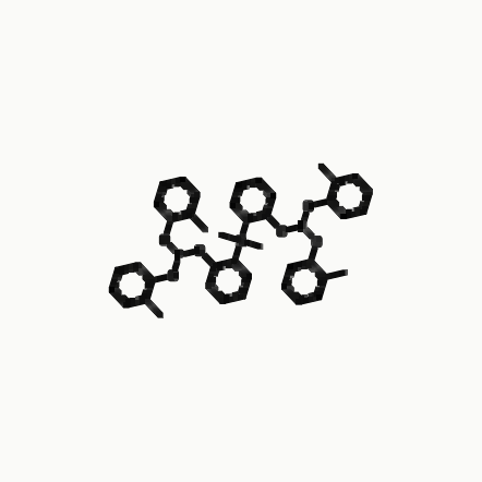 Cc1ccccc1OP(Oc1ccccc1C)Oc1ccccc1[Si](C)(C)c1ccccc1OP(Oc1ccccc1C)Oc1ccccc1C